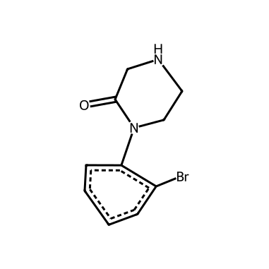 O=C1CNCCN1c1ccccc1Br